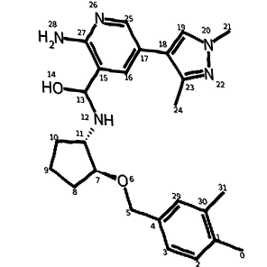 Cc1ccc(CO[C@H]2CCC[C@@H]2NC(O)c2cc(-c3cn(C)nc3C)cnc2N)cc1C